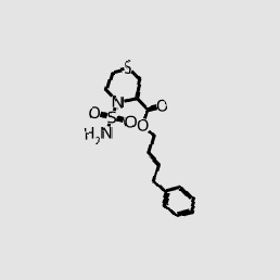 NS(=O)(=O)N1CCSCC1C(=O)OCCCCc1ccccc1